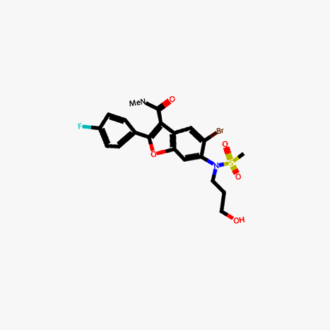 CNC(=O)c1c(-c2ccc(F)cc2)oc2cc(N(CCCO)S(C)(=O)=O)c(Br)cc12